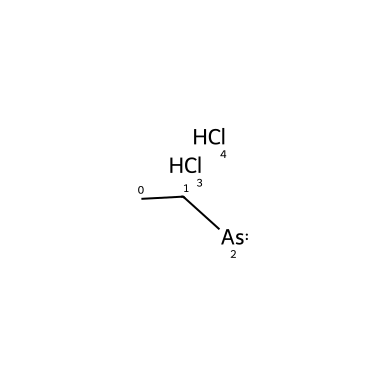 CC[As].Cl.Cl